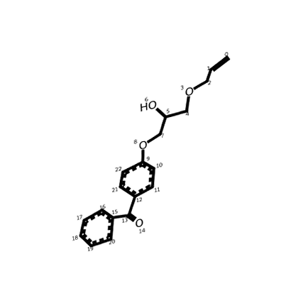 C=CCOCC(O)COc1ccc(C(=O)c2ccccc2)cc1